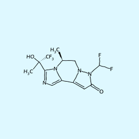 C[C@H]1Cn2c(cc(=O)n2C(F)F)-c2cnc([C@@](C)(O)C(F)(F)F)n21